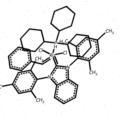 Cc1cc(C)c(-n2[c](=[Ru]([Cl])([Cl])(=[CH]c3ccccc3)[PH](C3CCCCC3)(C3CCCCC3)C3CCCCC3)n(-c3c(C)cc(C)cc3C)c3ccccc32)c(C)c1